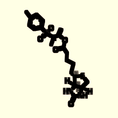 C=C(OC(=O)CCCC[C@@H]1SC[C@@H]2NC(=O)N[C@@H]21)N(C)S(=O)(=O)c1ccc(C)cc1